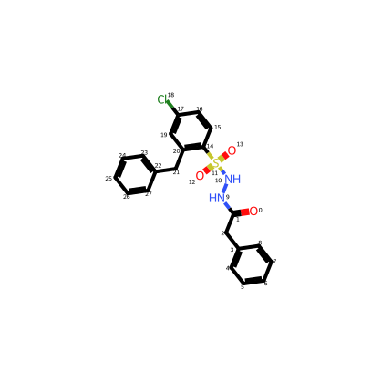 O=C(Cc1ccccc1)NNS(=O)(=O)c1ccc(Cl)cc1Cc1ccccc1